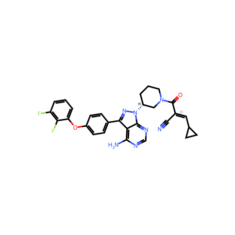 N#C/C(=C\C1CC1)C(=O)N1CCC[C@@H](n2nc(-c3ccc(Oc4cccc(F)c4F)cc3)c3c(N)ncnc32)C1